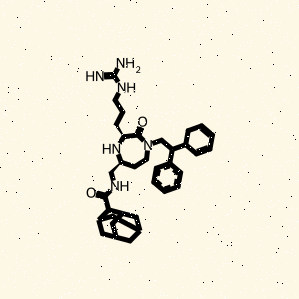 N=C(N)NCCC[C@@H]1N[C@H](CNC(=O)C2C3CC4CC(C3)CC2C4)CCN(CC(c2ccccc2)C2C=CC=CC2)C1=O